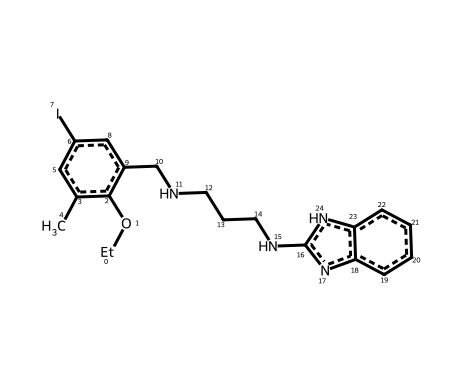 CCOc1c(C)cc(I)cc1CNCCCNc1nc2ccccc2[nH]1